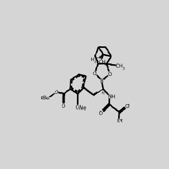 CCC(=O)C(=O)N[C@@H](Cc1cccc(C(=O)OC(C)(C)C)c1OC)B1OC2CC3CC(C3(C)C)C2(C)O1